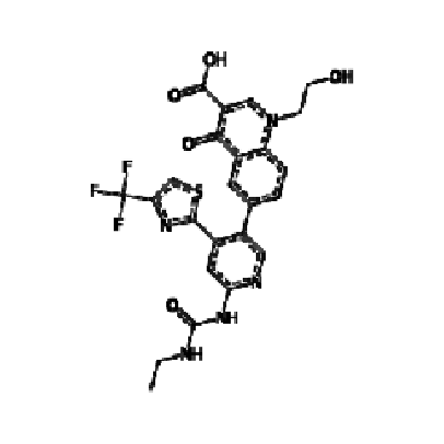 CCNC(=O)Nc1cc(-c2nc(C(F)(F)F)cs2)c(-c2ccc3c(c2)c(=O)c(C(=O)O)cn3CCO)cn1